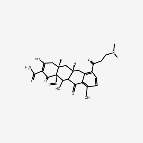 CN(C)CCC(=O)c1ccc(O)c2c1C[C@H]1C[C@@]3(C)CC(O)=C(C(N)=O)C(=O)[C@@]3(N=O)C(O)C1C2=O